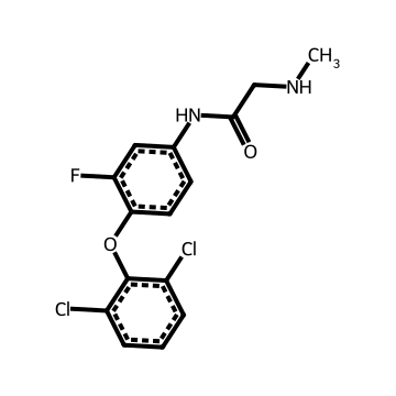 CNCC(=O)Nc1ccc(Oc2c(Cl)cccc2Cl)c(F)c1